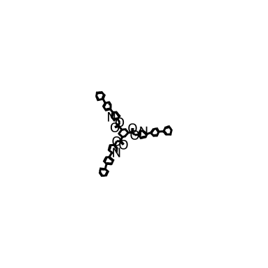 O=C(Oc1ccc(-c2ccc(C3=CCCC=C3)cc2)nc1)C1CC(C(=O)Oc2ccc(-c3ccc(-c4ccccc4)cc3)nc2)CC(C(=O)Oc2ccc(-c3ccc(-c4ccccc4)cc3)nc2)C1